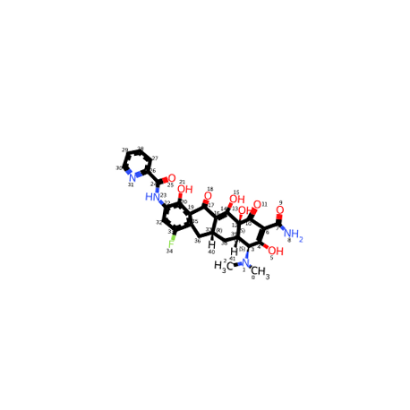 CN(C)[C@@H]1C(O)=C(C(N)=O)C(=O)[C@@]2(O)C(O)=C3C(=O)c4c(O)c(NC(=O)c5ccccn5)cc(F)c4C[C@H]3C[C@@H]12